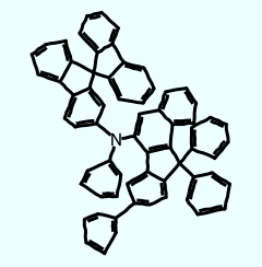 c1ccc(-c2ccc3c(c2)-c2c(N(c4ccccc4)c4ccc5c(c4)C4(c6ccccc6-c6ccccc64)c4ccccc4-5)cc4ccccc4c2C3(c2ccccc2)c2ccccc2)cc1